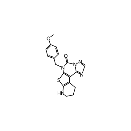 COc1ccc(Cn2c(=O)n3ncnc3c3c4c(sc32)NCCC4)cc1